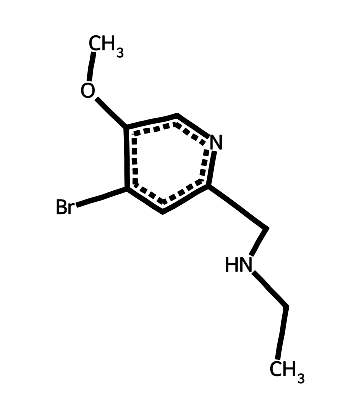 CCNCc1cc(Br)c(OC)cn1